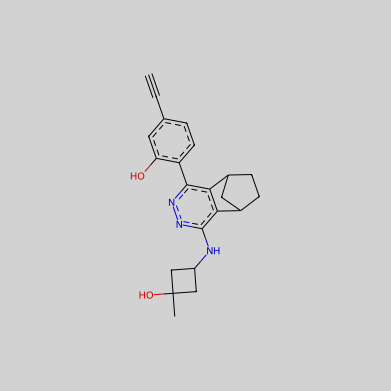 C#Cc1ccc(-c2nnc(NC3CC(C)(O)C3)c3c2C2CCC3C2)c(O)c1